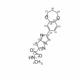 CNS(=O)(=O)c1nn2cc(-c3ccc4c(c3)OCCCO4)nc2s1